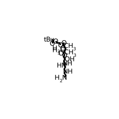 CC(C)(C)C(=O)OCCOC(=O)C(C)(C)CC(C)(C)C(=O)OCC(O)CNNCCNCCN